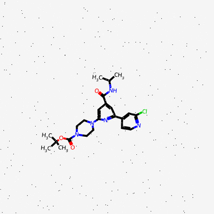 CC(C)NC(=O)c1cc(-c2ccnc(Cl)c2)nc(N2CCN(C(=O)OC(C)(C)C)CC2)c1